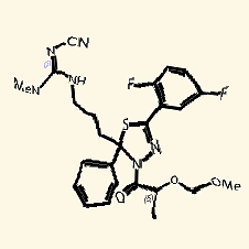 CN/C(=N/C#N)NCCCC1(c2ccccc2)SC(c2cc(F)ccc2F)=NN1C(=O)[C@H](C)OCOC